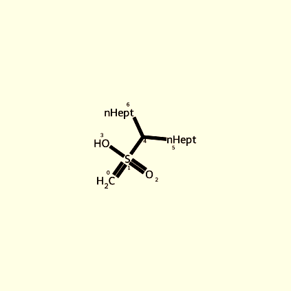 C=S(=O)(O)C(CCCCCCC)CCCCCCC